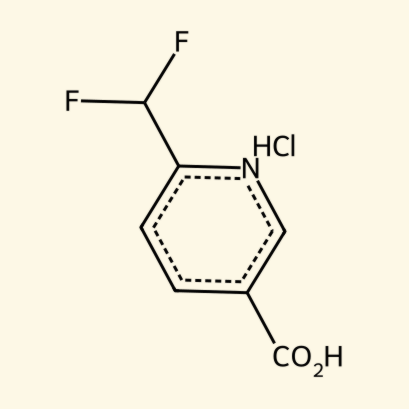 Cl.O=C(O)c1ccc(C(F)F)nc1